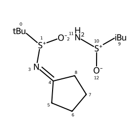 CC(C)(C)[S+]([O-])N=C1CCCC1.CCC(C)[S+](N)[O-]